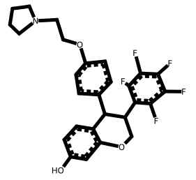 Oc1ccc2c(c1)OCC(c1c(F)c(F)c(F)c(F)c1F)C2c1ccc(OCCN2CCCC2)cc1